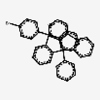 OC(c1ccccc1)(c1ccc(Br)cc1)c1ccccc1C1(c2ccccc2)c2ccccc2-c2ccccc21